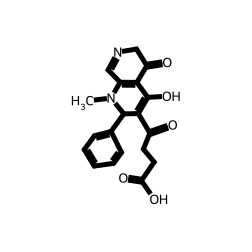 CN1C2=C(C(=O)CN=C2)C(O)=C(C(=O)CCC(=O)O)C1c1ccccc1